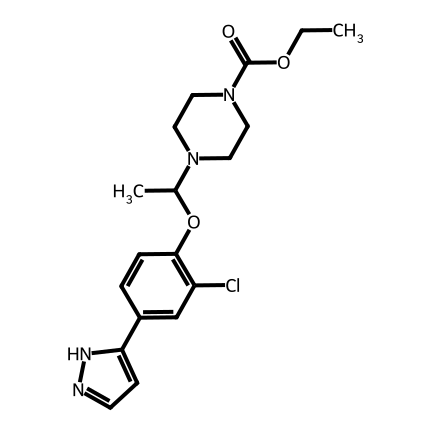 CCOC(=O)N1CCN(C(C)Oc2ccc(-c3ccn[nH]3)cc2Cl)CC1